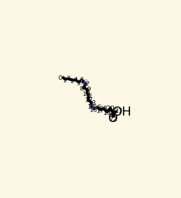 CCCCCC/C=C\CCCCCC/C=C\CCCCCC(=O)O